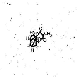 C=C1C(=O)OC2(OC1=O)[C@@H]1C[C@H]3C[C@@H](C1)C[C@]2(S)C3